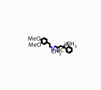 COc1ccc(CCN(C)CCCC(C#N)(c2ccccc2C)C(C)C)cc1OC